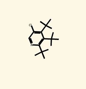 CC(C)(C)c1ncc(Cl)c(C(C)(C)C)c1C(C)(C)C